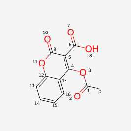 CC(=O)Oc1c(C(=O)O)c(=O)oc2ccccc12